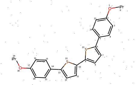 CC(C)Oc1ccc(-c2ccc(-c3ccc(-c4ccc(OC(C)C)cc4)s3)s2)cc1